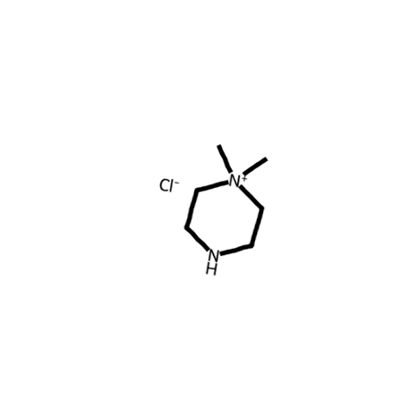 C[N+]1(C)CCNCC1.[Cl-]